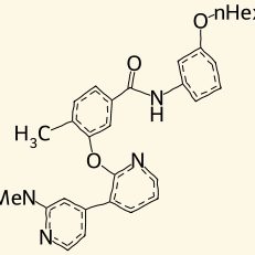 CCCCCCOc1cccc(NC(=O)c2ccc(C)c(Oc3ncccc3-c3ccnc(NC)c3)c2)c1